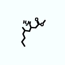 CCCCC(C)CC(N)CC(=O)OC